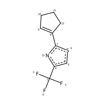 FC(F)(F)c1csc(C2=CCCC2)n1